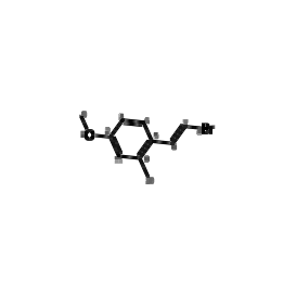 COc1ccc(C=CBr)c(C)c1